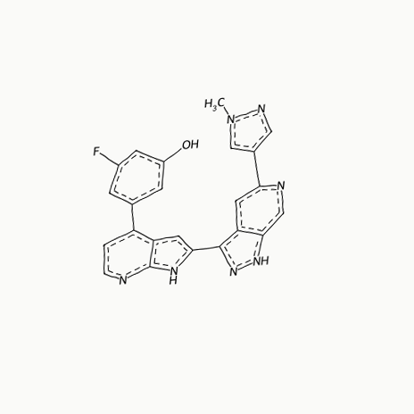 Cn1cc(-c2cc3c(-c4cc5c(-c6cc(O)cc(F)c6)ccnc5[nH]4)n[nH]c3cn2)cn1